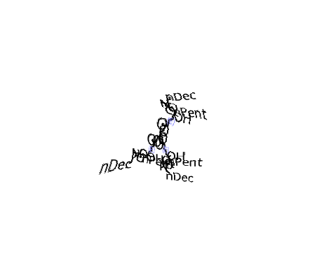 CCCCCCCCCCCCCN(C)CC(=O)OC(CCCCC)C(O)C/C=C/CC(=O)OCC(COC(=O)C/C=C/CC(O)C(CCCCC)OC(=O)CN(C)CCCCCCCCCCCCC)OC(=O)C/C=C/CC(O)C(CCCCC)OC(=O)CN(C)CCCCCCCCCCCCC